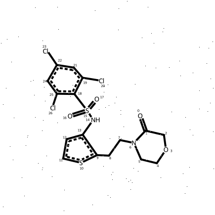 O=C1COCCN1CCc1sccc1NS(=O)(=O)c1c(Cl)cc(Cl)cc1Cl